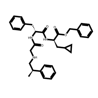 C[C@@H](CNCC(=O)N[C@H](Cc1ccccc1)C(=O)N[C@H](CC1CC1)C(=O)OCc1ccccc1)c1ccccc1